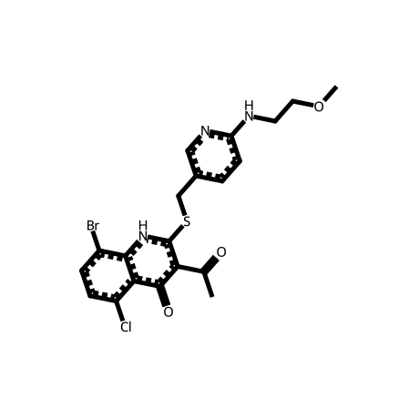 COCCNc1ccc(CSc2[nH]c3c(Br)ccc(Cl)c3c(=O)c2C(C)=O)cn1